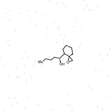 CC(C)(C)CCC[C@H](O)C1CCCC[C@]12CO2